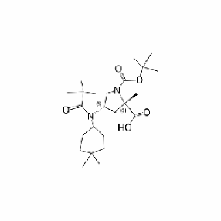 CC1(C)CCC(N(C(=O)C(C)(C)C)[C@@H]2CN(C(=O)OC(C)(C)C)[C@](C)(C(=O)O)C2)CC1